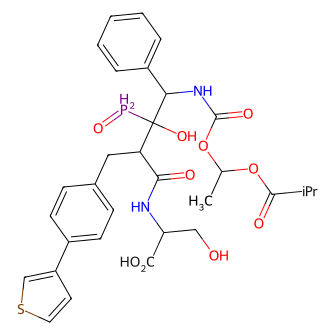 CC(OC(=O)NC(c1ccccc1)C(O)([PH2]=O)C(Cc1ccc(-c2ccsc2)cc1)C(=O)NC(CO)C(=O)O)OC(=O)C(C)C